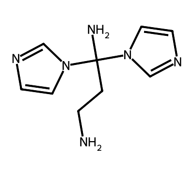 NCCC(N)(n1ccnc1)n1ccnc1